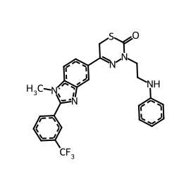 Cn1c(-c2cccc(C(F)(F)F)c2)nc2cc(C3=NN(CCNc4ccccc4)C(=O)SC3)ccc21